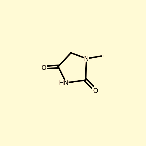 [CH2]N1CC(=O)NC1=O